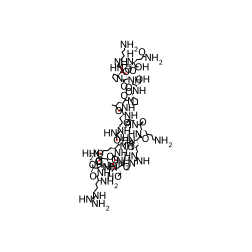 CC(C)C[C@H](NC(=O)[C@H](CO)NC(=O)[C@H](CC(=O)O)NC(=O)[C@@H](NC(=O)[C@@H](N)CCCNC(=N)N)[C@@H](C)O)C(=O)N[C@@H](CCCCN)C(=O)NCC(=O)N[C@@H](CCCNC(=N)N)C(=O)N[C@@H](CCCCN)C(=O)NCC(=O)N[C@@H](CCCNC(=N)N)C(=O)N[C@@H](CC(C)C)C(=O)N1CCC[C@H]1C(=O)N[C@@H](CO)C(=O)N[C@@H](CCCCN)C(=O)N1CCC[C@H]1C(=O)N[C@@H](CCCCN)C(=O)N[C@@H](CCC(N)=O)C(=O)O